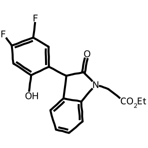 CCOC(=O)CN1C(=O)C(c2cc(F)c(F)cc2O)c2ccccc21